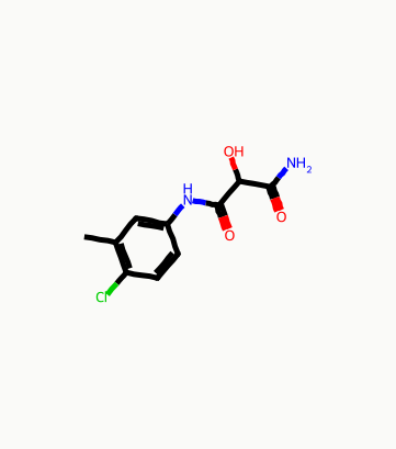 Cc1cc(NC(=O)C(O)C(N)=O)ccc1Cl